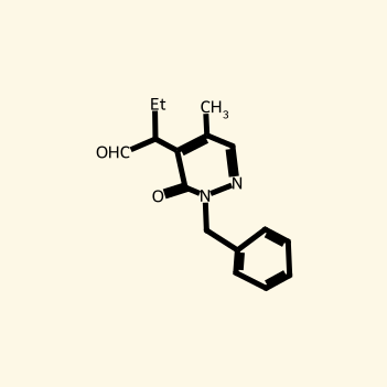 CCC(C=O)c1c(C)cnn(Cc2ccccc2)c1=O